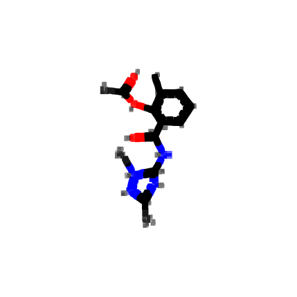 CCC(=O)Oc1c(C)cccc1C(=O)Nc1nc(C(F)(F)F)nn1C(C)C